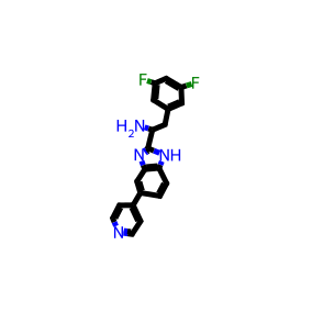 NC(Cc1cc(F)cc(F)c1)c1nc2cc(-c3ccncc3)ccc2[nH]1